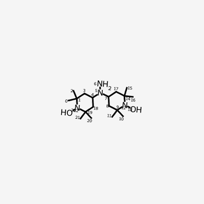 CC1(C)CC(N(N)C2CC(C)(C)N(O)C(C)(C)C2)CC(C)(C)N1O